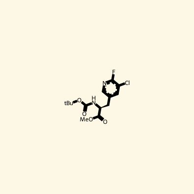 COC(=O)[C@H](Cc1cnc(F)c(Cl)c1)NC(=O)OC(C)(C)C